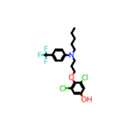 CCCCCN(CCCOc1c(Cl)cc(O)cc1Cl)c1ccc(C(F)(F)F)cc1